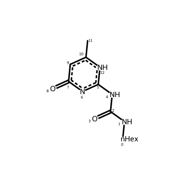 CCCCCCNC(=O)Nc1nc(=O)cc(C)[nH]1